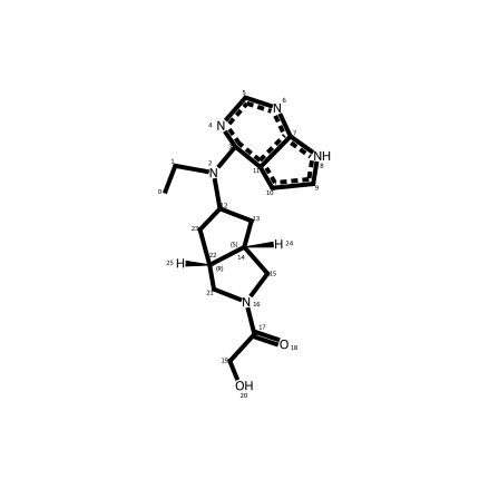 CCN(c1ncnc2[nH]ccc12)C1C[C@@H]2CN(C(=O)CO)C[C@@H]2C1